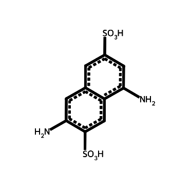 Nc1cc2cc(S(=O)(=O)O)cc(N)c2cc1S(=O)(=O)O